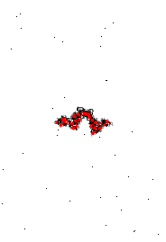 Cc1ccc(Sc2ccccc2N2CCN(COC(=O)C(C)(C)C(=O)OCN3CCN(c4ccccc4Sc4ccc(C)cc4C)CC3)CC2)c(C)c1